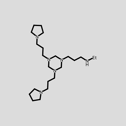 CCNCCCN1CN(CCCN2CCCC2)CN(CCCN2CCCC2)C1